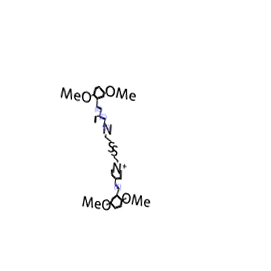 C=CC(/C=C/c1cc(OC)ccc1OC)=C\C=N\CCSSCC[n+]1ccc(/C=C/c2cc(OC)ccc2OC)cc1